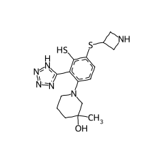 CC1(O)CCCN(c2ccc(SC3CNC3)c(S)c2-c2nnn[nH]2)C1